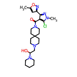 Cc1cc(-c2nn(C)c(Cl)c2C(=O)N2CCC3(CCN(CC(O)N4CCCCC4)CC3)CC2)no1